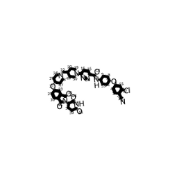 N#Cc1ccc(O[C@H]2CC[C@H](NC(=O)c3ccc(N4CCC(CN5CCC(Oc6ccc7c(c6)C(=O)N(C6CCC(=O)NC6=O)C7=O)CC5)CC4)nn3)CC2)cc1Cl